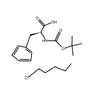 CC(C)(C)OC(=O)N[C@@H](Cc1ccccc1)C(=O)O.CCCCCCl